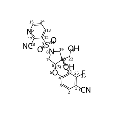 N#Cc1ccc(O[C@H]2CN(S(=O)(=O)c3cccnc3C#N)C[C@]2(O)CO)cc1F